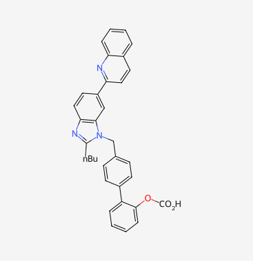 CCCCc1nc2ccc(-c3ccc4ccccc4n3)cc2n1Cc1ccc(-c2ccccc2OC(=O)O)cc1